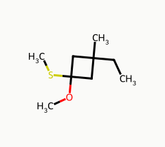 CCC1(C)CC(OC)(SC)C1